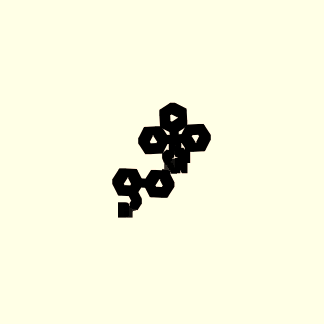 BrCc1ccccc1-c1cccc(N2CN(C(c3ccccc3)(c3ccccc3)c3ccccc3)N=N2)c1